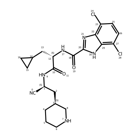 N#C[C@H](C[C@@H]1CCCNC1)NC(=O)[C@H](CC1CC1)NC(=O)c1nc2c(Cl)ccc(Cl)c2[nH]1